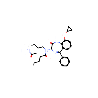 NC(=O)C[C@@H](CCC(F)(F)F)C(=O)N(CCCC(F)(F)F)[C@@H]1N=C(c2ccccc2)c2cccc(OC3CC3)c2NC1=O